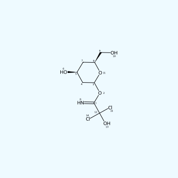 N=C(OC1C[C@@H](O)C[C@@H](CO)O1)C(O)(Cl)Cl